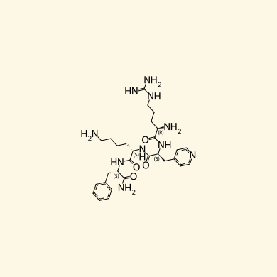 N=C(N)NCCC[C@@H](N)C(=O)N[C@@H](Cc1ccncc1)C(=O)N[C@@H](CCCCN)C(=O)N[C@@H](Cc1ccccc1)C(N)=O